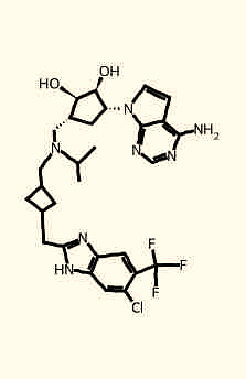 CC(C)N(CC1CC(Cc2nc3cc(C(F)(F)F)c(Cl)cc3[nH]2)C1)C[C@H]1C[C@@H](n2ccc3c(N)ncnc32)[C@H](O)[C@@H]1O